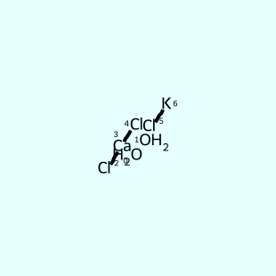 O.O.[Cl][Ca][Cl].[Cl][K]